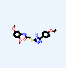 CCOc1ccc(-c2nnc(SCC(=O)Nc3cc(OC)ccc3OC)[nH]2)cc1